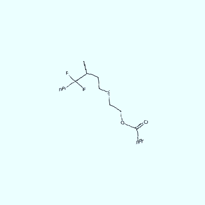 CCCC(=O)OCCSCCC(C)C(F)(F)CCC